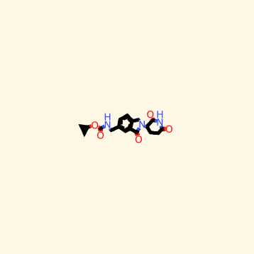 O=C1CCC(N2Cc3ccc(CNC(=O)OC4CC4)cc3C2=O)C(=O)N1